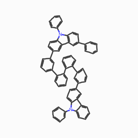 c1ccc(-c2ccc3c(c2)c2cc(-c4cccc(-c5ccccc5-c5ccccc5-c5cccc(-c6ccc7c(c6)c6ccccc6n7-c6ccccc6)c5)c4)ccc2n3-c2ccccc2)cc1